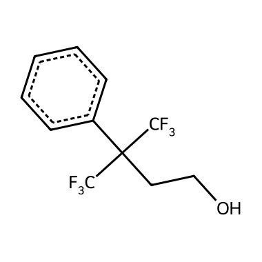 OCCC(c1ccccc1)(C(F)(F)F)C(F)(F)F